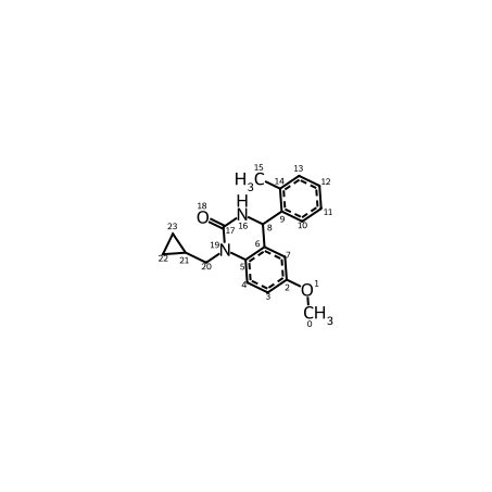 COc1ccc2c(c1)C(c1ccccc1C)NC(=O)N2CC1CC1